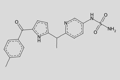 Cc1ccc(C(=O)c2ccc(C(C)c3ccc(NS(N)(=O)=O)cn3)[nH]2)cc1